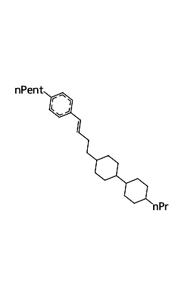 CCCCCc1ccc(C=CCCC2CCC(C3CCC(CCC)CC3)CC2)cc1